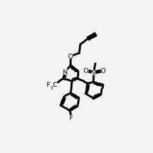 C#CCCOc1cc(-c2ccccc2S(C)(=O)=O)c(-c2ccc(F)cc2)c(C(F)(F)F)n1